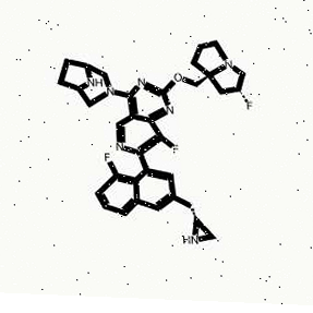 Fc1c(-c2cc(C[C@@H]3CN3)cc3cccc(F)c23)ncc2c(N3CC4CCC(C3)N4)nc(OC[C@@]34CCCN3C[C@H](F)C4)nc12